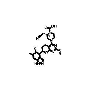 CSc1nc2c(c(N3CCN(C(=O)O)[C@@H](CC#N)C3)n1)CCC(c1c(Cl)c(C)cc3[nH]ncc13)O2